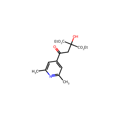 CCOC(=O)C(O)(CC(=O)c1cc(C)nc(C)c1)C(=O)OCC